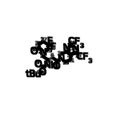 CC(C)(C)OC(=O)N[C@@H](CC(=O)N1CCc2c(nc(C(F)(F)F)nc2C(F)(F)F)C1)CN1CC(F)(F)CCC1=O